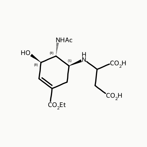 CCOC(=O)C1=C[C@@H](O)[C@H](NC(C)=O)[C@@H](NC(CC(=O)O)C(=O)O)C1